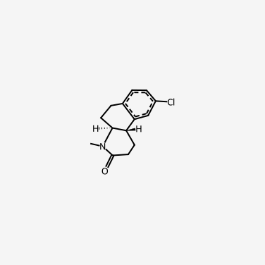 CN1C(=O)CC[C@H]2c3cc(Cl)ccc3CC[C@@H]21